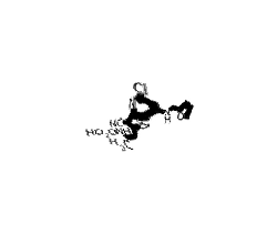 C[C@@H](Cc1sc2c(NCc3ccco3)cc(Cl)nc2c1C#N)NC(=O)O